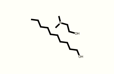 CCCCCCCCCCO.CN(C)CCO